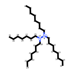 CCCCCCCC[N+](CCCCCCCC)N(CCCCCCC)CCCCCCC